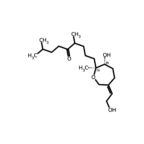 CC(C)CCC(=O)C(C)CCC[C@]1(C)OCC(=CCO)CC[C@H]1O